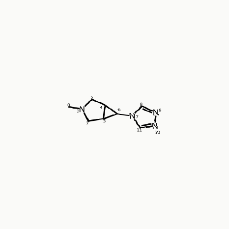 CN1CC2C(C1)C2n1cnnc1